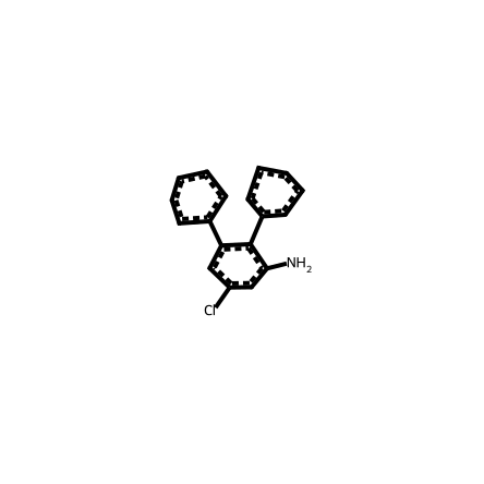 Nc1cc(Cl)cc(-c2ccccc2)c1-c1ccccc1